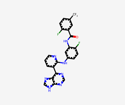 O=C(Nc1cc(Nc2ncccc2-c2ncnc3[nH]cnc23)ccc1F)c1cc(C(F)(F)F)ccc1F